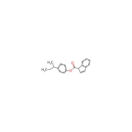 CCC(C)c1ccc(OC(=O)C2C=Cc3ccccc32)cc1